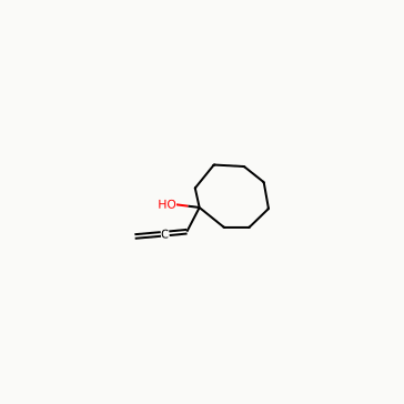 C=C=CC1(O)CCCCCCC1